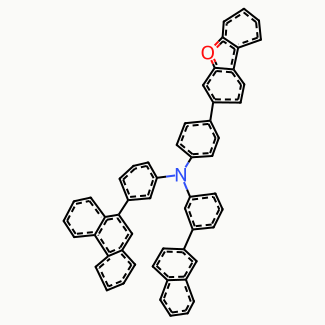 c1cc(-c2ccc3ccccc3c2)cc(N(c2ccc(-c3ccc4c(c3)oc3ccccc34)cc2)c2cccc(-c3cc4ccccc4c4ccccc34)c2)c1